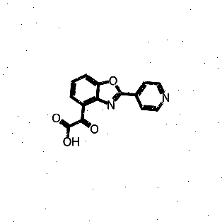 O=C(O)C(=O)c1cccc2oc(-c3ccncc3)nc12